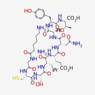 CC(C)C[C@H](NC(=O)[C@H](CO)NC(=O)[C@H](CS)NC(=O)CNC(=O)[C@@H](N)CCCCN)C(=O)N[C@@H](CCC(=O)O)C(=O)N[C@@H](CC(N)=O)C(=O)N[C@H](C(=O)N[C@@H](Cc1ccc(O)cc1)C(=O)N[C@H](C(=O)O)[C@@H](C)O)C(C)C